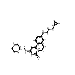 O=c1nc(OC[C@H]2COCCO2)cc2n1CCc1cc(OCCCC3CC3)ccc1-2